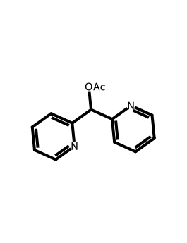 CC(=O)OC(c1ccccn1)c1ccccn1